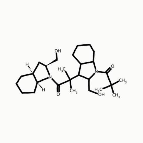 CC(C)(C)C(=O)N1C2CCCCC2C(C(C)(C)C(=O)N2[C@H](CO)C[C@@H]3CCCC[C@@H]32)C1CO